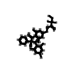 CCC(C)(C)C(=O)OCc1cc(C)c(C(=O)P(=O)(C(=O)c2c(C)cc(C)cc2C)c2ccccc2)c(C)c1